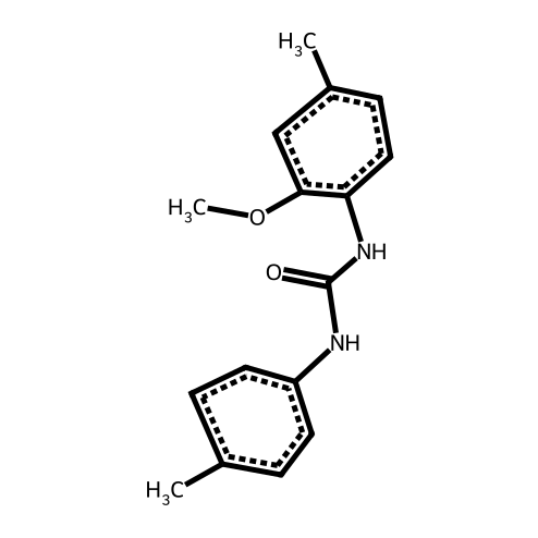 COc1cc(C)ccc1NC(=O)Nc1ccc(C)cc1